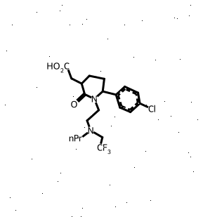 CCCN(CCN1C(=O)C(CC(=O)O)CCC1c1ccc(Cl)cc1)CC(F)(F)F